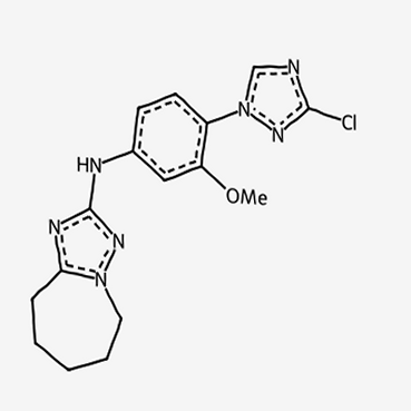 COc1cc(Nc2nc3n(n2)CCCCC3)ccc1-n1cnc(Cl)n1